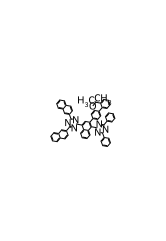 CC1(C)Oc2cc(-c3cc(-c4nc(-c5ccc6ccccc6c5)nc(-c5ccc6ccccc6c5)n4)c4ccccc4c3-c3nc(-c4ccccc4)nc(-c4ccccc4)n3)ccc2-c2ccccc21